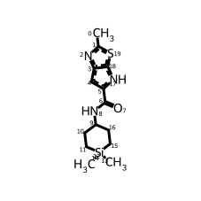 Cc1nc2cc(C(=O)NC3CC[Si](C)(C)CC3)[nH]c2s1